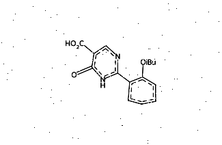 CC(C)COc1ccccc1-c1ncc(C(=O)O)c(=O)[nH]1